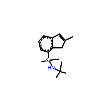 CC1=Cc2cccc([Si](C)(C)NC(C)(C)C)c2C1